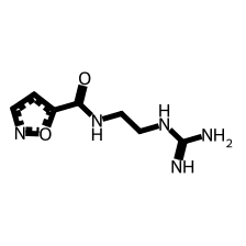 N=C(N)NCCNC(=O)c1ccno1